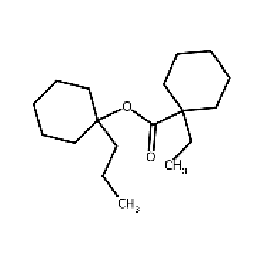 CCCC1(OC(=O)C2(CC)CCCCC2)CCCCC1